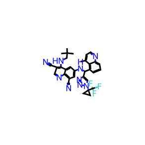 Cc1ccnc2cccc(C(Nc3cc(C#N)c4ncc(C#N)c(NCC(C)(C)C)c4c3)c3cn(C4(C(F)(F)F)CC4)nn3)c12